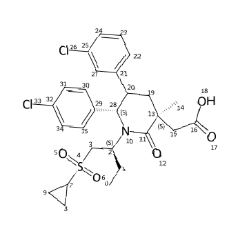 CC[C@@H](CS(=O)(=O)C1CC1)N1C(=O)[C@](C)(CC(=O)O)CC(c2cccc(Cl)c2)[C@H]1c1ccc(Cl)cc1